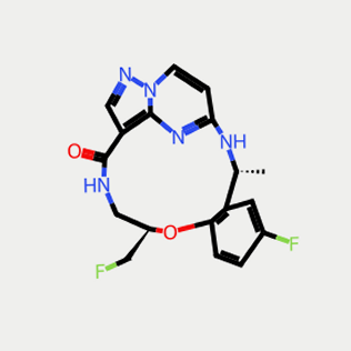 C[C@H]1Nc2ccn3ncc(c3n2)C(=O)NC[C@H](CF)Oc2ccc(F)cc21